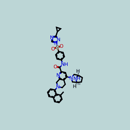 Cc1cccc2cccc(N3CCc4c(N5C[C@H]6CC[C@@H](C5)N6)cc(C(=O)Nc5ccc(S(=O)(=O)n6cnc(C7CC7)n6)cc5)nc4C3)c12